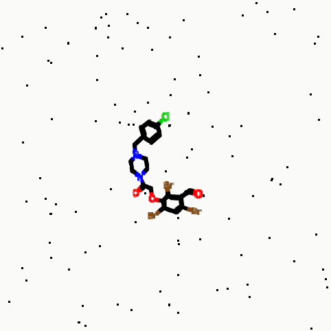 O=Cc1c(Br)cc(Br)c(OCC(=O)N2CCN(Cc3ccc(Cl)cc3)CC2)c1Br